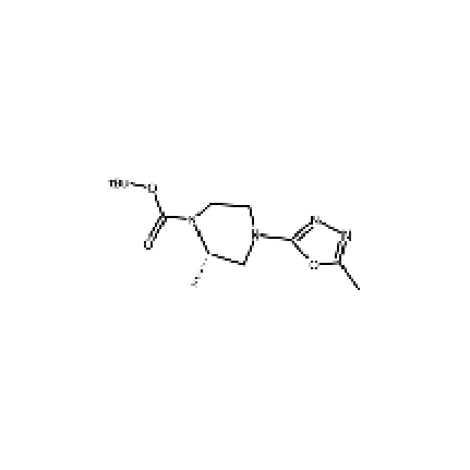 Cc1nnc(N2CCN(C(=O)OC(C)(C)C)[C@@H](C)C2)o1